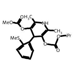 COC(=O)OC1=C(C)NC(C)=C(OC(=O)OC(C)C)C1c1ccccc1SC